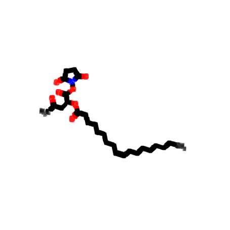 CCCCCCCC/C=C\CCCCCCCC(=O)O[C@@H](CC(C)=O)C(=O)ON1C(=O)CCC1=O